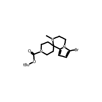 CN1CCn2c(Br)ccc2C12CCN(C(=O)OC(C)(C)C)CC2